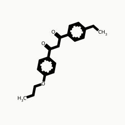 CCCOc1ccc(C(=O)CC(=O)c2ccc(CC)cc2)cc1